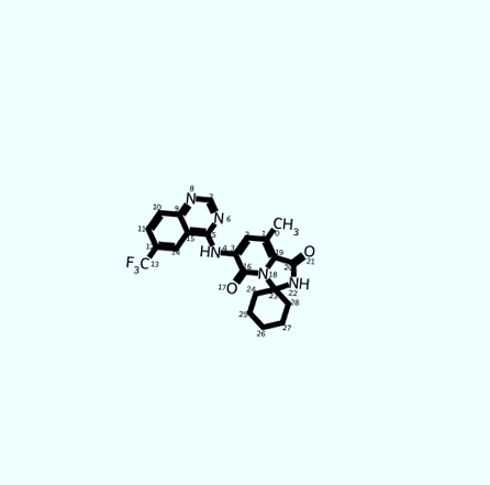 Cc1cc(Nc2ncnc3ccc(C(F)(F)F)cc23)c(=O)n2c1C(=O)NC21CCCCC1